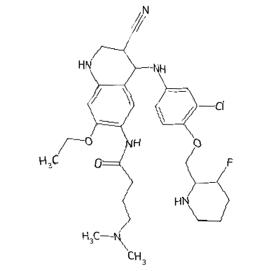 CCOc1cc2c(cc1NC(=O)CCCN(C)C)C(Nc1ccc(OCC3NCCCC3F)c(Cl)c1)C(C#N)CN2